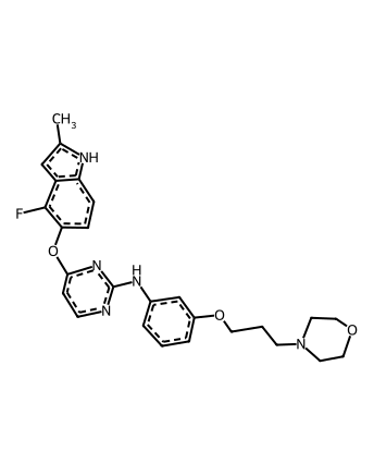 Cc1cc2c(F)c(Oc3ccnc(Nc4cccc(OCCCN5CCOCC5)c4)n3)ccc2[nH]1